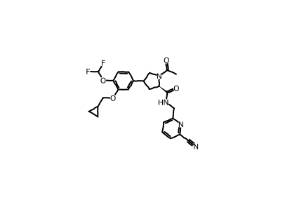 CC(=O)N1CC(c2ccc(OC(F)F)c(OCC3CC3)c2)C[C@@H]1C(=O)NCc1cccc(C#N)n1